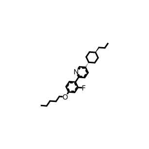 CCCCCOc1ccc(-c2ccc([C@H]3CC[C@H](CCC)CC3)cn2)c(F)c1